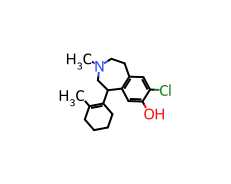 CC1=C(C2CN(C)CCc3cc(Cl)c(O)cc32)CCCC1